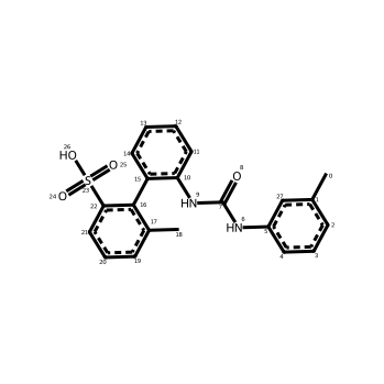 Cc1cccc(NC(=O)Nc2ccccc2-c2c(C)cccc2S(=O)(=O)O)c1